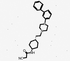 N#CCC(=O)N[C@H]1CC[C@H](CCN2CCN(c3cccc(-c4ccccc4)c3)CC2)CC1